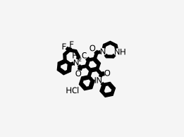 C=C1C(C(=O)N2CCCNCC2)=CC(C(=O)Nc2ccccc2)=C(c2ccccc2)C1C(=O)N1CCC(F)(F)Cc2ccccc21.Cl